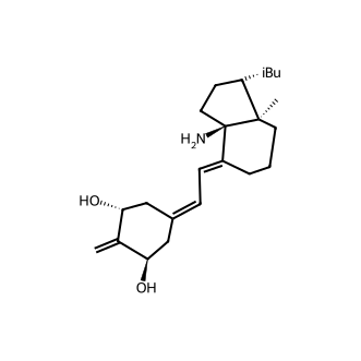 C=C1[C@H](O)CC(=C/C=C2\CCC[C@]3(C)C([C@@H](C)CC)CC[C@@]23N)C[C@H]1O